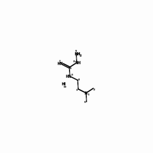 CN(C)CCNC(=N)NN.I